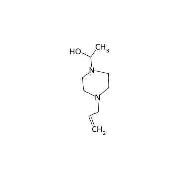 C=CCN1CCN(C(C)O)CC1